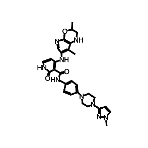 Cc1c(Nc2cc[nH]c(=O)c2C(=O)Nc2ccc(N3CCN(c4ccn(C)n4)CC3)cc2)cnc2c1NCC(C)O2